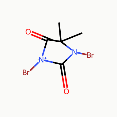 CC1(C)C(=O)[N+](Br)C(=O)N1Br